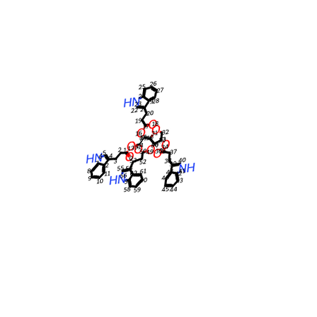 O=C(CCc1c[nH]c2ccccc12)OC[C@@H](OC(=O)CCc1c[nH]c2ccccc12)C1OC[C@H](OC(=O)CCc2c[nH]c3ccccc23)[C@H]1OC(=O)CCc1c[nH]c2ccccc12